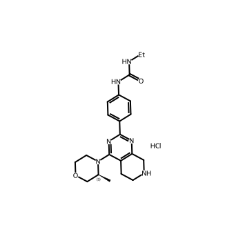 CCNC(=O)Nc1ccc(-c2nc3c(c(N4CCOC[C@@H]4C)n2)CCNC3)cc1.Cl